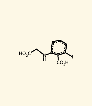 O=C(O)CNc1cccc(I)c1C(=O)O